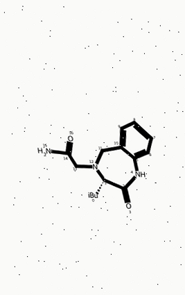 CCC(C)[C@H]1C(=O)Nc2ccccc2CN1CC(N)=O